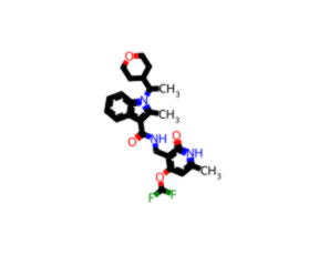 Cc1cc(OC(F)F)c(CNC(=O)c2c(C)n(C(C)C3CCOCC3)c3ccccc23)c(=O)[nH]1